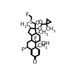 C[C@@H]1CC2C3C[C@H](F)C4=CC(=O)C=C[C@]4(C)[C@@]3(F)[C@@H](O)C[C@]2(C)[C@@]1(OC(=O)C1(C)CC1)C(=O)SCF